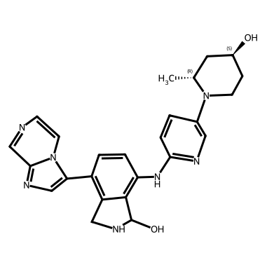 C[C@@H]1C[C@@H](O)CCN1c1ccc(Nc2ccc(-c3cnc4cnccn34)c3c2C(O)NC3)nc1